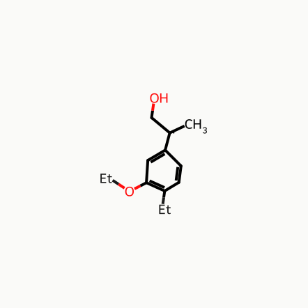 CCOc1cc([C](C)CO)ccc1CC